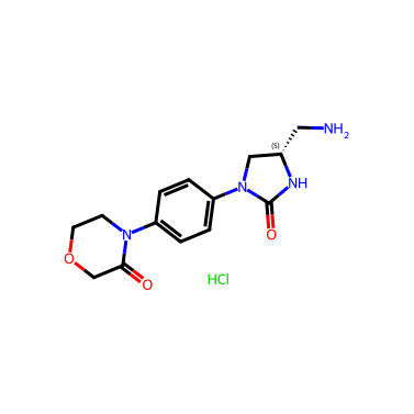 Cl.NC[C@H]1CN(c2ccc(N3CCOCC3=O)cc2)C(=O)N1